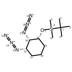 CC(C)(C)[Si](C)(C)O[C@@H]1CCC[C@H](N=[N+]=[N-])[C@@H]1N=[N+]=[N-]